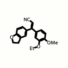 CCOc1cc(/C(=C/C#N)c2ccc3c(c2)CCO3)ccc1OC